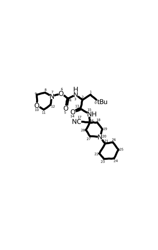 CC(C)(C)CC(NC(=O)ON1CCOCC1)C(=O)NC1(C#N)CCN(C2CCCCC2)CC1